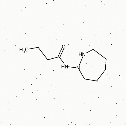 CCCC(=O)NN1CCCCCN1